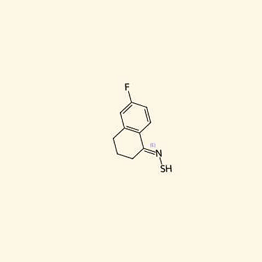 Fc1ccc2c(c1)CCC/C2=N\S